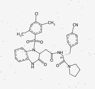 Cc1cc(S(=O)(=O)N2c3ccccc3NC(=O)C2CC(=O)N[C@H](Cc2ccc(C#N)cc2)C(=O)N2CCCC2)c(C)cc1Cl